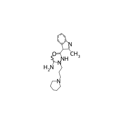 CC1=Nc2ccccc2C1C(=O)NN(CCCN1CCCCC1)C(N)=S